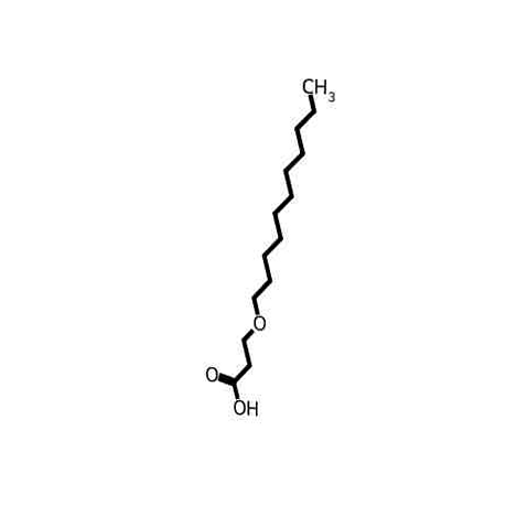 CCCCCCCCCCCOCCC(=O)O